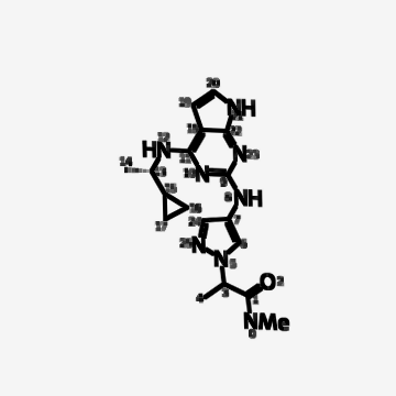 CNC(=O)C(C)n1cc(Nc2nc(N[C@@H](C)C3CC3)c3cc[nH]c3n2)cn1